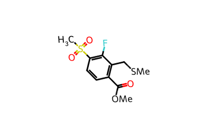 COC(=O)c1ccc(S(C)(=O)=O)c(F)c1CSC